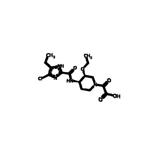 CCO[C@H]1CN(C(=O)C(=O)O)CC[C@H]1NC(=O)c1nc(Cl)c(CC)[nH]1